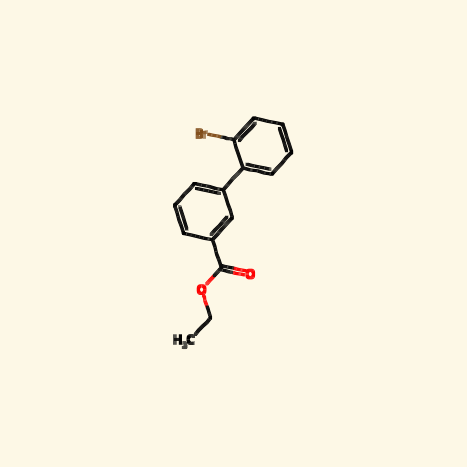 CCOC(=O)c1cccc(-c2ccccc2Br)c1